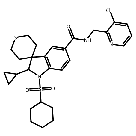 O=C(NCc1ncccc1Cl)c1ccc2c(c1)C1(CCSCC1)C(C1CC1)N2S(=O)(=O)C1CCCCC1